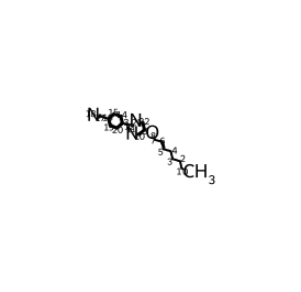 CCCCCC=CCOc1cnc(-c2ccc(C#N)cc2)nc1